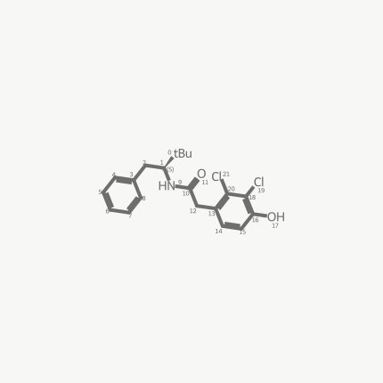 CC(C)(C)[C@H](Cc1ccccc1)NC(=O)Cc1ccc(O)c(Cl)c1Cl